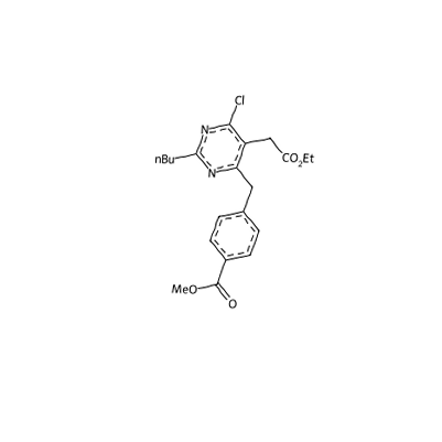 CCCCc1nc(Cl)c(CC(=O)OCC)c(Cc2ccc(C(=O)OC)cc2)n1